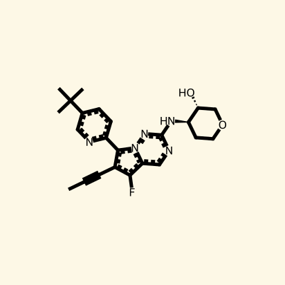 CC#Cc1c(F)c2cnc(N[C@@H]3CCOC[C@H]3O)nn2c1-c1ccc(C(C)(C)C)cn1